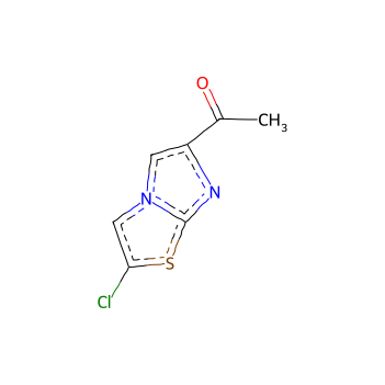 CC(=O)c1cn2cc(Cl)sc2n1